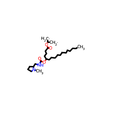 [CH2]C([CH2])OC(=O)CCCC(CCCCCCCCCCCC)OC(=O)NCC1CCCN1C